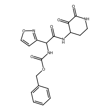 O=C(NC(C(=O)NC1CCNC(=O)C1=O)c1ccon1)OCc1ccccc1